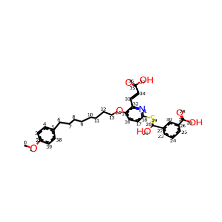 COc1ccc(CCCCCCCCOc2ccc(SC(O)c3cccc(C(=O)O)c3)nc2C=CC(=O)O)cc1